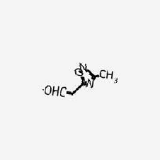 Cc1noc(C[C]=O)n1